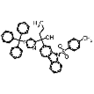 CCCC(O)(c1ccc2c3ccccc3n(S(=O)(=O)c3ccc(C)cc3)c2c1)c1cn(C(c2ccccc2)(c2ccccc2)c2ccccc2)cn1